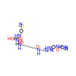 Cc1ncsc1-c1ccc(CNC(=O)[C@@H]2C[C@@H](O)CN2C(=O)[C@@H](NC(=O)CCCCCCCCCC(=O)NCCC2CCN(Cc3nc4cc(NC(=O)c5ccc6c(cnn6C)c5)ccc4[nH]3)C2)C(C)(C)C)cc1